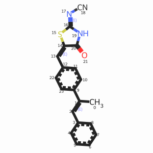 C/C(=C\c1ccccc1)c1ccc(/C=C2/S/C(=N/C#N)NC2=O)cc1